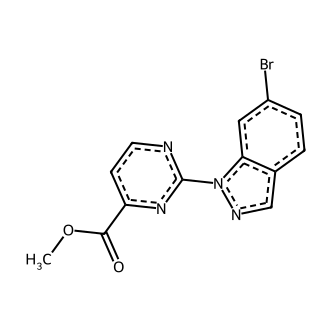 COC(=O)c1ccnc(-n2ncc3ccc(Br)cc32)n1